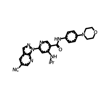 CC(C)Nc1cc(-n2ncc3cc(C#N)cnc32)ncc1C(=O)Nc1ccc(N2CCOCC2)cc1